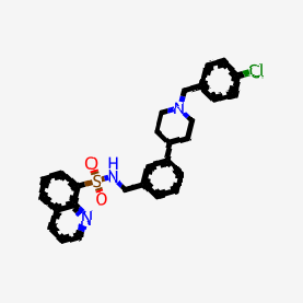 O=S(=O)(NCc1cccc(C2CCN(Cc3ccc(Cl)cc3)CC2)c1)c1cccc2cccnc12